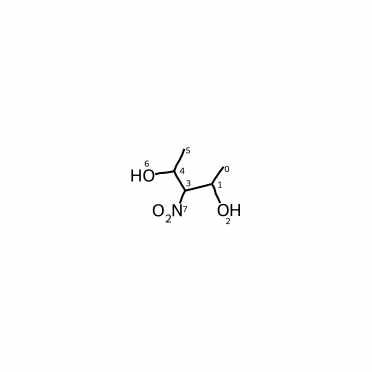 CC(O)C(C(C)O)[N+](=O)[O-]